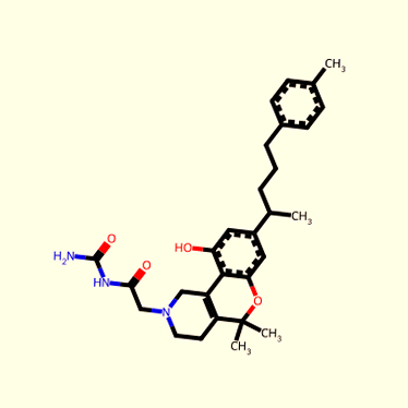 Cc1ccc(CCCC(C)c2cc(O)c3c(c2)OC(C)(C)C2=C3CN(CC(=O)NC(N)=O)CC2)cc1